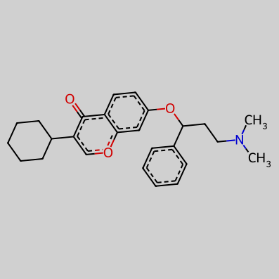 CN(C)CCC(Oc1ccc2c(=O)c(C3CCCCC3)coc2c1)c1ccccc1